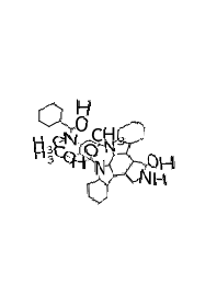 CO[C@@H]1[C@H](N(C)C(O)C2CCCCC2)C[C@]2(C)O[C@H]1N1C3CCCCC3C3C4CNC(O)C4C4C5CCCCC5N2C4C31